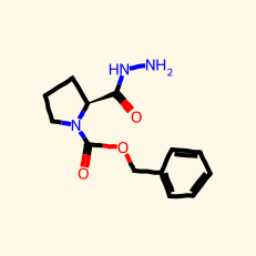 NNC(=O)[C@@H]1CCCN1C(=O)OCc1ccccc1